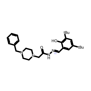 CC(C)(C)c1cc(/C=N/NC(=O)CN2CCN(Cc3ccccc3)CC2)c(O)c(C(C)(C)C)c1